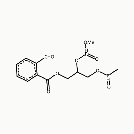 CO[PH](=O)OC(COC(=O)c1ccccc1C=O)CO[PH](C)=O